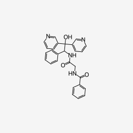 O=C(CNC(=O)c1ccccc1)NC(c1ccccc1)C(O)(c1cccnc1)c1cccnc1